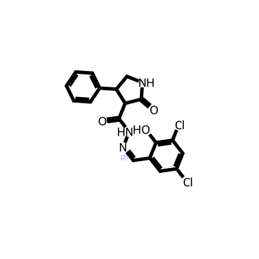 O=C1NCC(c2ccccc2)C1C(=O)N/N=C\c1cc(Cl)cc(Cl)c1O